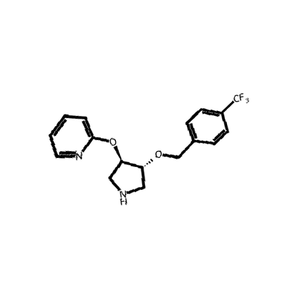 FC(F)(F)c1ccc(CO[C@@H]2CNC[C@H]2Oc2ccccn2)cc1